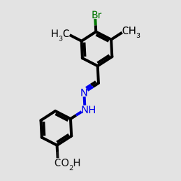 Cc1cc(/C=N/Nc2cccc(C(=O)O)c2)cc(C)c1Br